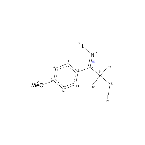 COc1ccc(/C(=N\I)C(C)(C)CI)cc1